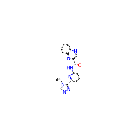 CC(C)n1cnnc1-c1cccc(NC(=O)c2cnc3ccccc3n2)n1